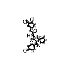 O=C(Cc1ccc(Cl)c(Cl)c1)NNC(=O)c1c(-c2ccc(Cl)cc2)nc2ccccn12